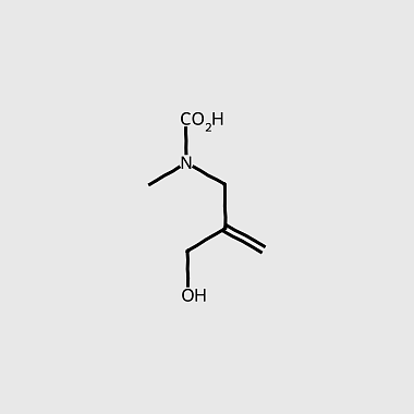 C=C(CO)CN(C)C(=O)O